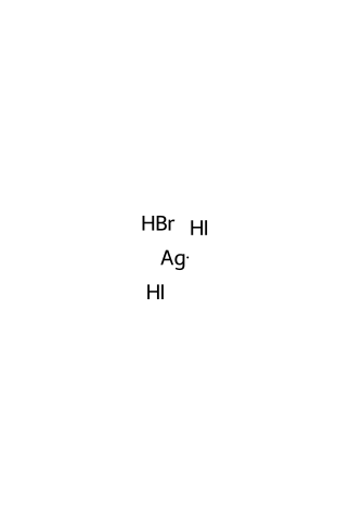 Br.I.I.[Ag]